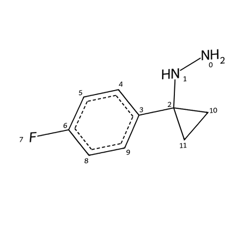 NNC1(c2ccc(F)cc2)CC1